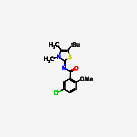 COc1ccc(Cl)cc1C(=O)/N=c1\sc(C(C)(C)C)c(C)n1C